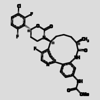 COC(=O)Nc1ccc2c(c1)NC(=O)[C@H](C)CCC[C@H](N1CC[C@H](c3c(F)ccc(Cl)c3F)OC1=O)c1cc-2ncc1F